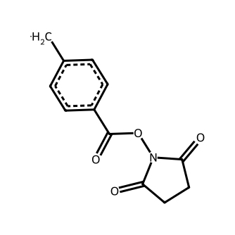 [CH2]c1ccc(C(=O)ON2C(=O)CCC2=O)cc1